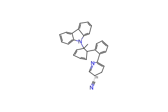 CC1(n2c3ccccc3c3ccccc32)C=CC=CC1c1ccccc1C1=CC[C@H](C#N)C=N1